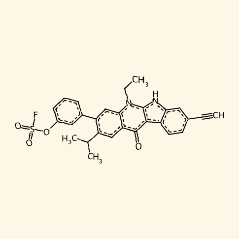 C#Cc1ccc2c(c1)[nH]c1c2c(=O)c2cc(C(C)C)c(-c3cccc(OS(=O)(=O)F)c3)cc2n1CC